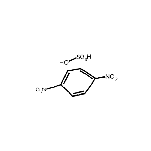 O=S(=O)(O)O.O=[N+]([O-])c1ccc([N+](=O)[O-])cc1